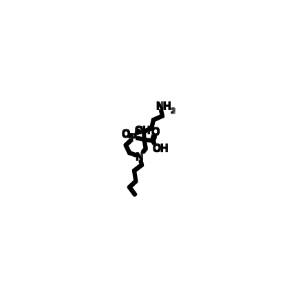 CCCCCN1CCP(=O)(O)C(CCCCN)(C(=O)O)C1